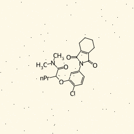 CCCC(Oc1cc(N2C(=O)C3=C(CCCC3)C2=O)ccc1Cl)C(=O)N(C)C